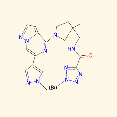 Cn1cc(-c2cn3nccc3c(N3CCC(C)(CNC(=O)c4nnn(C(C)(C)C)n4)C3)n2)cn1